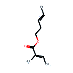 CC=C(C)C(=O)OCC/C=C/CC